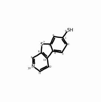 Sc1ccc2c(c1)sc1cnccc12